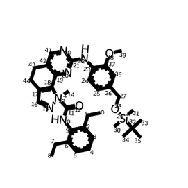 CCc1cccc(CC)c1NC(=O)[N+]1(C)N=CC2=C1c1nc(Nc3ccc(CO[Si](C)(C)C(C)(C)C)cc3OC)ncc1CC2